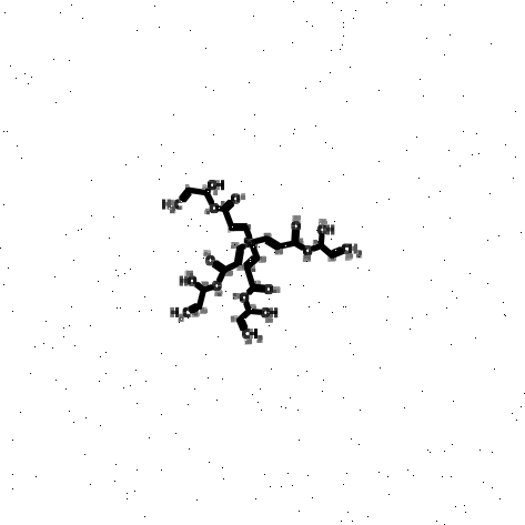 C=CC(O)OC(=O)C=C[Si](C=CC(=O)OC(O)C=C)(C=CC(=O)OC(O)C=C)C=CC(=O)OC(O)C=C